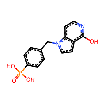 O=P(O)(O)c1ccc(Cn2ccc3c(O)nccc32)cc1